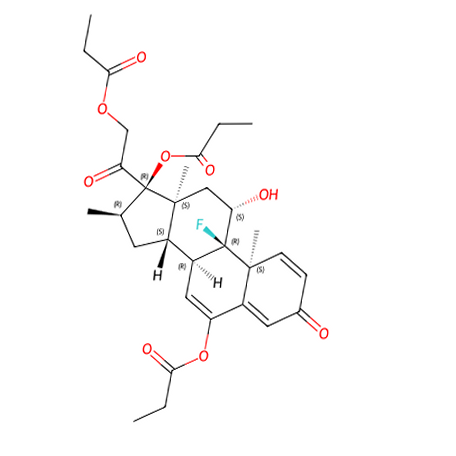 CCC(=O)OCC(=O)[C@@]1(OC(=O)CC)[C@H](C)C[C@H]2[C@@H]3C=C(OC(=O)CC)C4=CC(=O)C=C[C@]4(C)[C@@]3(F)[C@@H](O)C[C@@]21C